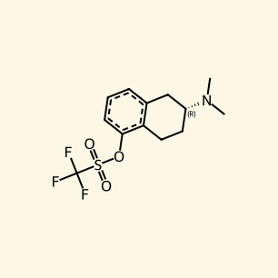 CN(C)[C@@H]1CCc2c(cccc2OS(=O)(=O)C(F)(F)F)C1